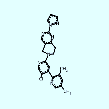 Cc1cnc(-c2cc(N3CCc4nc(-n5cccn5)ncc4C3)ncc2Cl)c(C)c1